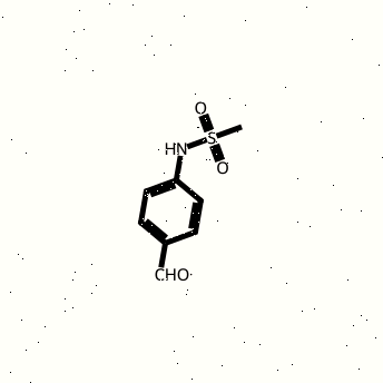 CS(=O)(=O)Nc1ccc([C]=O)cc1